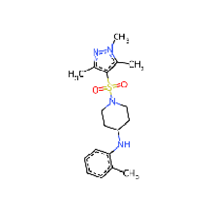 Cc1ccccc1NC1CCN(S(=O)(=O)c2c(C)nn(C)c2C)CC1